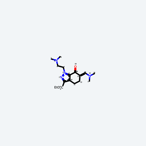 CCOC(=O)c1nn(CCN(C)C)c2c1CCC(=CN(C)C)C2=O